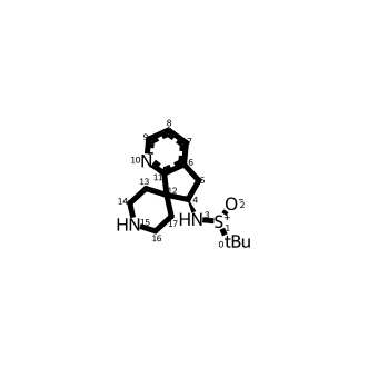 CC(C)(C)[S+]([O-])N[C@@H]1Cc2cccnc2C12CCNCC2